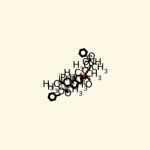 CC(C)[C@@H](C)[C@@]1(C)CC[C@]2(C)[C@H]3CC[C@@H]4[C@@]5(COC[C@]4(C)[C@@H](OCC(C)(C)NS(=O)(=O)c4ccccc4)[C@H](C)C5)C3=CC[C@@]2(C)[C@@H]1C(=O)OCc1ccccc1